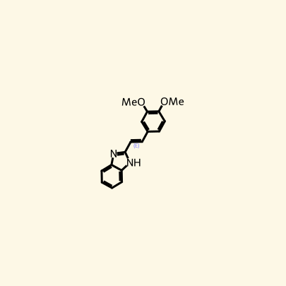 COc1ccc(/C=C/c2nc3ccccc3[nH]2)cc1OC